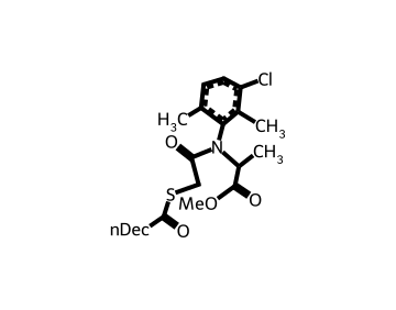 CCCCCCCCCCC(=O)SCC(=O)N(c1c(C)ccc(Cl)c1C)C(C)C(=O)OC